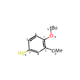 COc1cc(S)ccc1OC(C)(C)C